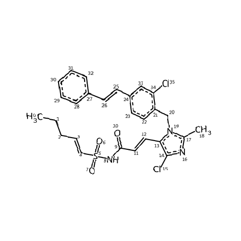 CCCC=CS(=O)(=O)NC(=O)C=Cc1c(Cl)nc(C)n1Cc1ccc(C=Cc2ccccc2)cc1Cl